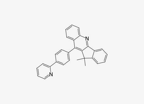 CC1(C)c2ccccc2-c2nc3ccccc3c(-c3ccc(-c4ccccn4)cc3)c21